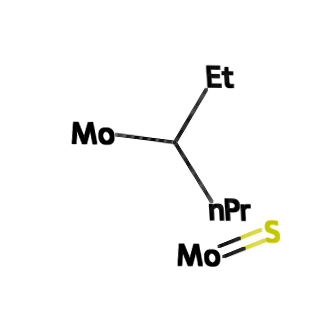 CCC[CH]([Mo])CC.[S]=[Mo]